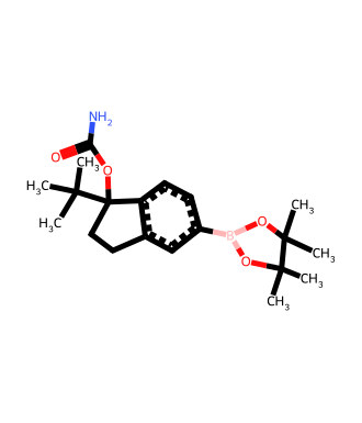 CC(C)(C)C1(OC(N)=O)CCc2cc(B3OC(C)(C)C(C)(C)O3)ccc21